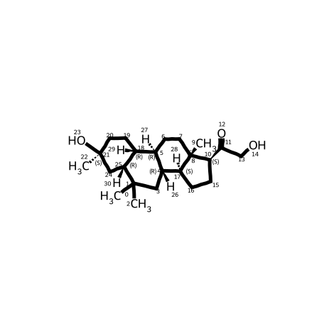 CC1(C)C[C@@H]2[C@H](CC[C@]3(C)[C@@H](C(=O)CO)CC[C@@H]23)[C@H]2CC[C@](C)(O)C[C@H]21